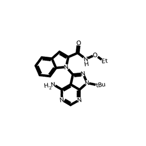 CCONC(=O)c1cc2ccccc2n1-c1nn(C(C)(C)C)c2ncnc(N)c12